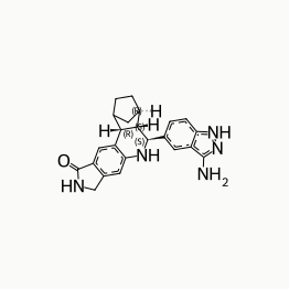 Nc1n[nH]c2ccc([C@H]3Nc4cc5c(cc4[C@@H]4C6CC[C@H](C6)[C@H]34)C(=O)NC5)cc12